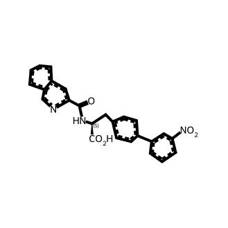 O=C(N[C@@H](Cc1ccc(-c2cccc([N+](=O)[O-])c2)cc1)C(=O)O)c1cc2ccccc2cn1